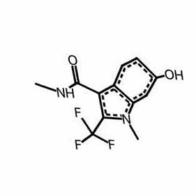 CNC(=O)c1c(C(F)(F)F)n(C)c2cc(O)ccc12